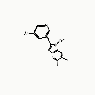 CCCn1c(-c2cncc(C(C)=O)c2)nc2cc(F)c(F)cc21